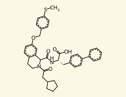 CSc1ccc(COc2ccc3c(c2)C(C(=O)N[C@@H](Cc2ccc(-c4ccccc4)cc2)C(=O)O)N(C(=O)CC2CCCC2)CC3)cc1